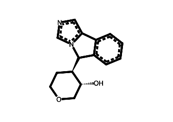 O[C@@H]1COCC[C@H]1C1c2ccccc2-c2cncn21